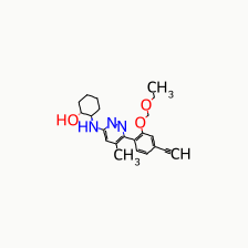 C#Cc1ccc(-c2nnc(N[C@@H]3CCCC[C@H]3O)cc2C)c(OCOCC)c1